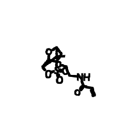 C=CC(=O)NCCOC1(C)C2CC3C(O2)C1OS3(=O)=O